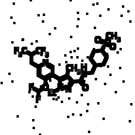 CCn1nc(C(=O)NCC2CCC(S(C)(=O)=O)CC2)c(C)c1-c1cnc(CC(C(F)(F)F)C(F)(F)F)cc1OC(F)F